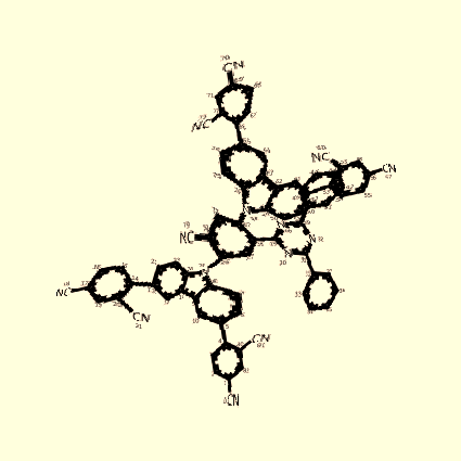 N#Cc1ccc(-c2ccc3c(c2)c2cc(-c4ccc(C#N)cc4C#N)ccc2n3-c2cc(-c3nc(-c4ccccc4)nc(-c4ccccc4)n3)c(-n3c4ccc(-c5ccc(C#N)cc5C#N)cc4c4cc(-c5ccc(C#N)cc5C#N)ccc43)cc2C#N)c(C#N)c1